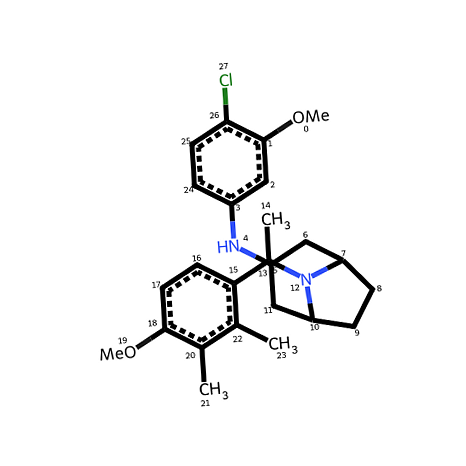 COc1cc(NC2CC3CCC(C2)N3C(C)c2ccc(OC)c(C)c2C)ccc1Cl